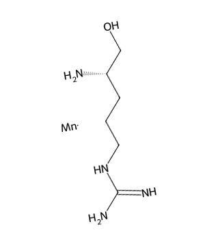 N=C(N)NCCC[C@H](N)CO.[Mn]